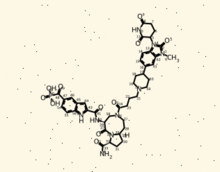 Cn1c(=O)n(C2CCC(=O)NC2=O)c2ccc(C3CCN(CCCC(=O)N4CC[C@H]5CC[C@@H](C(N)=O)N5C(=O)[C@@H](NC(=O)c5cc6cc(C(=O)P(=O)(O)O)ccc6[nH]5)C4)CC3)cc21